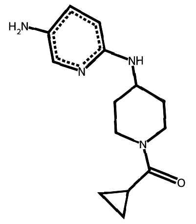 Nc1ccc(NC2CCN(C(=O)C3CC3)CC2)nc1